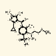 COCCN(C)c1c(S(C)(=O)=O)ccc(C(=O)c2c(C3CC3)nn(C)c2O)c1C